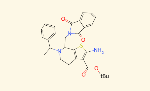 CC(c1ccccc1)N1CCc2c(sc(N)c2C(=O)OC(C)(C)C)C1CN1C(=O)c2ccccc2C1=O